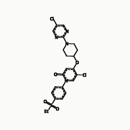 CCS(=O)(=O)c1ccc(-n2cc(Cl)c(OC3CCN(c4ncc(Cl)cn4)CC3)cc2=O)cc1